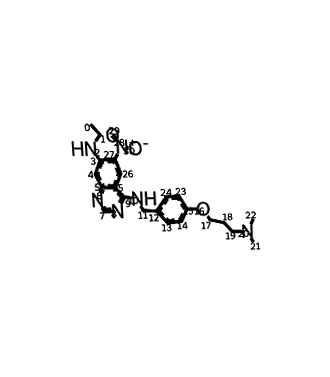 CCNc1cc2ncnc(NCc3ccc(OCCCN(C)C)cc3)c2cc1[N+](=O)[O-]